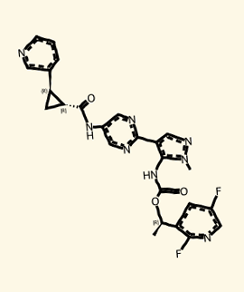 C[C@@H](OC(=O)Nc1c(-c2ncc(NC(=O)[C@@H]3C[C@H]3c3cccnc3)cn2)cnn1C)c1cc(F)cnc1F